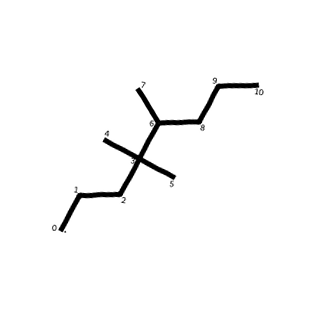 [CH2]CCC(C)(C)C(C)CCC